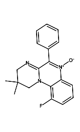 CC1(C)CN=C2C(c3ccccc3)=[N+]([O-])c3cccc(F)c3N2C1